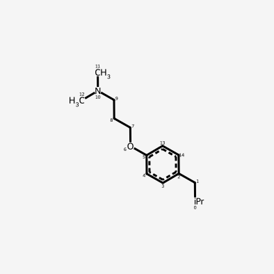 CC(C)Cc1ccc(OCCCN(C)C)cc1